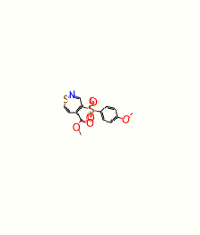 COC(=O)C1=C(S(=O)(=O)c2ccc(OC)cc2)C=NSC=C1